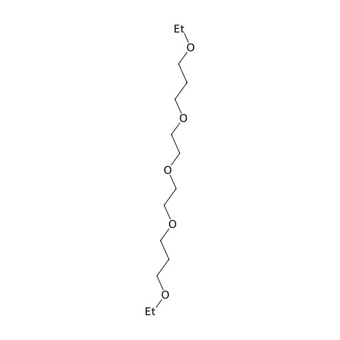 CCOCCCOCCOCCOCCCOCC